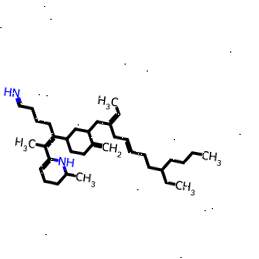 C=C1CCC(/C(CCCC=N)=C(/C)C2=CCCC(C)N2)CC1C/C(=C\C)C/C=C/CCC(CC)CCCC